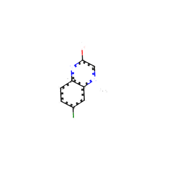 Oc1cnc2cc(Cl)ccc2n1.[NaH]